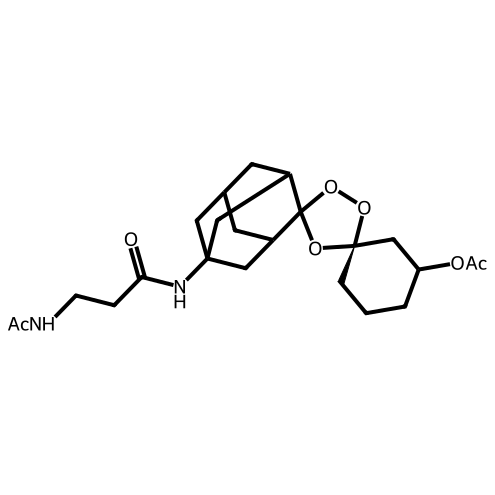 CC(=O)NCCC(=O)NC12CC3CC(C1)C1(OO[C@@]4(CCCC(OC(C)=O)C4)O1)C(C3)C2